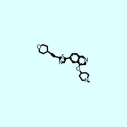 CN1CCC(Oc2cncc3ccc(-c4cnc(C#CC5CCOCC5)s4)cc23)CC1